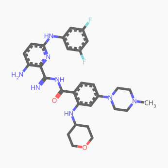 CN1CCN(c2ccc(C(=O)NC(=N)c3nc(Nc4cc(F)cc(F)c4)ccc3N)c(NC3CCOCC3)c2)CC1